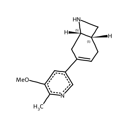 COc1cc(C2=CC[C@H]3CN[C@H]3C2)cnc1C